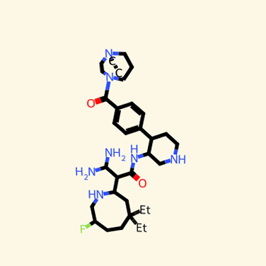 CCC1(CC)CCC(F)CNC(C(C(=O)NC2CNCCC2c2ccc(C(=O)N3CCN4CCC3CC4)cc2)C(N)N)C1